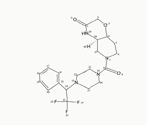 O=C1COC2CCN(C(=O)N3CCN(C(c4ccccc4)C(F)(F)F)CC3)C[C@H]2N1